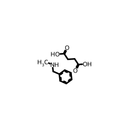 CNCc1ccccc1.O=C(O)CCC(=O)O